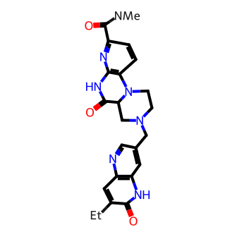 CCc1cc2ncc(CN3CCN4c5ccc(C(=O)NC)nc5NC(=O)C4C3)cc2[nH]c1=O